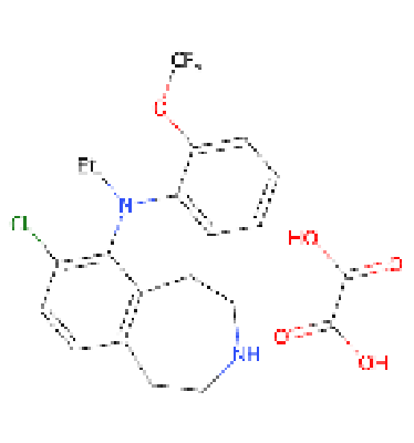 CCN(c1ccccc1OC(F)(F)F)c1c(Cl)ccc2c1CCNCC2.O=C(O)C(=O)O